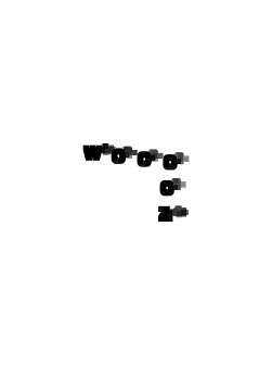 [O-2].[O-2].[O-2].[O-2].[W+4].[Zr+4]